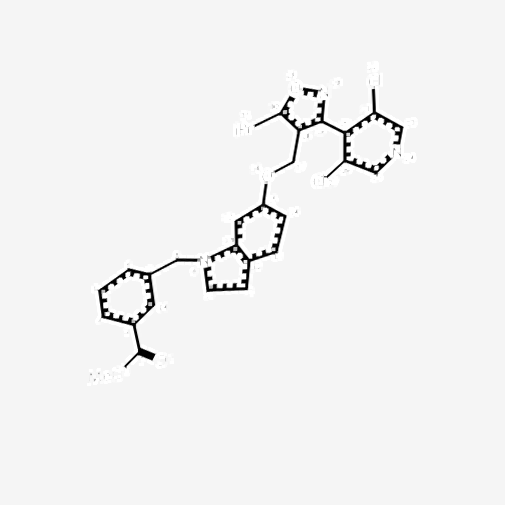 COC(=O)c1cccc(Cn2ccc3ccc(OCc4c(-c5c(Cl)cncc5Cl)noc4C(C)C)cc32)c1